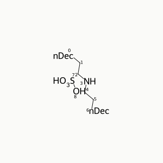 CCCCCCCCCCCCNCCCCCCCCCCCC.O=S(=O)(O)O